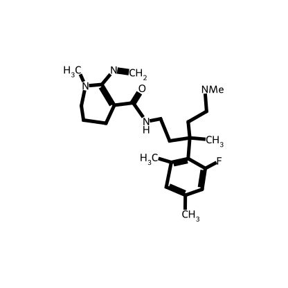 C=NC1=C(C(=O)NCCC(C)(CCNC)c2c(C)cc(C)cc2F)CCCN1C